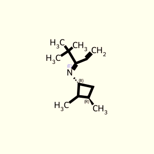 C=C/C(=N\[C@@H]1C[C@@H](C)C1C)C(C)(C)C